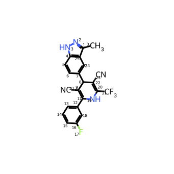 Cc1n[nH]c2ccc(C3C(C#N)=C(c4cccc(F)c4)NC(C(F)(F)F)=C3C#N)cc12